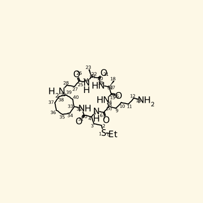 CCSCCC(NC(=O)[C@H](CCCCN)NC(=O)[C@H](C)NC(=O)[C@H](C)NC(=O)CCN)C(=O)NC1CCCCCCC1